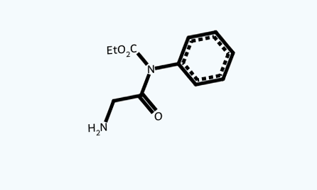 CCOC(=O)N(C(=O)CN)c1ccccc1